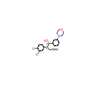 CNC[C@@H](c1ccc(Cl)c(Cl)c1)[C@@H](O)c1cccc(N2CCOCC2)c1